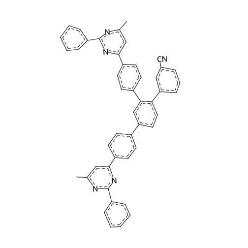 Cc1cc(-c2ccc(-c3ccc(-c4cccc(C#N)c4)c(-c4ccc(-c5cc(C)nc(-c6ccccc6)n5)cc4)c3)cc2)nc(-c2ccccc2)n1